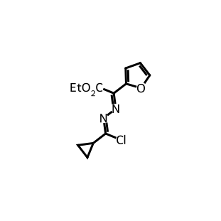 CCOC(=O)C(=NN=C(Cl)C1CC1)c1ccco1